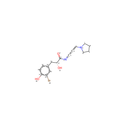 O=C(N=C=C=CN1CCCC1)[C@H](O)Cc1ccc(O)c(Br)c1